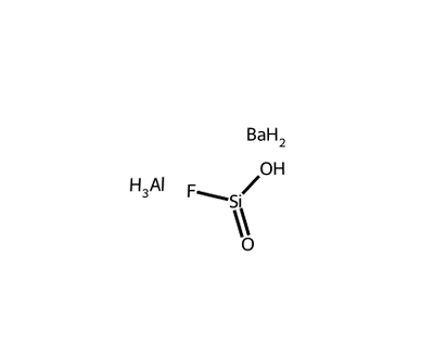 O=[Si](O)F.[AlH3].[BaH2]